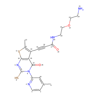 Cc1ccnc(-n2c(S)nc3sc(C)c(C#CC(=O)NCCOCCN)c3c2=O)c1